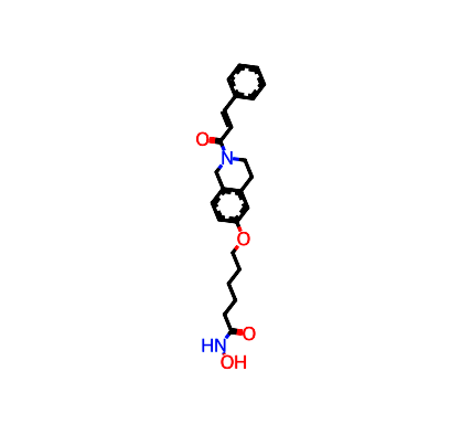 O=C(CCCCCOc1ccc2c(c1)CCN(C(=O)C=Cc1ccccc1)C2)NO